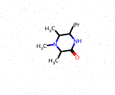 CC(C)C1NC(=O)C(C)N(C)C1C